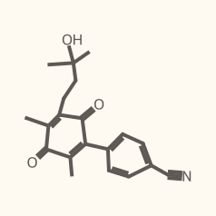 CC1=C(CCC(C)(C)O)C(=O)C(c2ccc(C#N)cc2)=C(C)C1=O